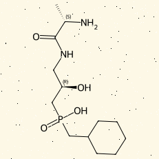 C[C@H](N)C(=O)NC[C@@H](O)CP(=O)(O)CC1CCCCC1